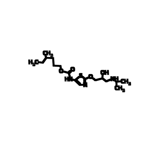 CCC(C)CCCOC(=O)Nc1cnc(OCC(O)CNC(C)C)s1